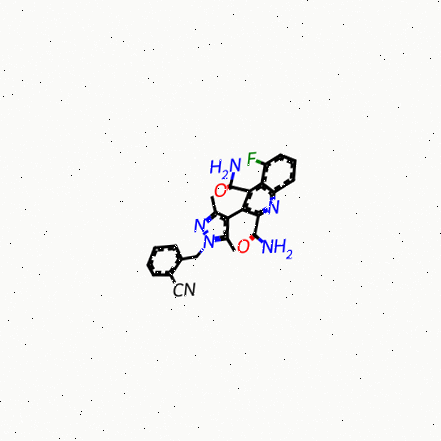 Cc1nn(Cc2ccccc2C#N)c(C)c1-c1c(C(N)=O)nc2cccc(F)c2c1C(N)=O